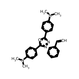 CN(C)c1ccc(-c2nnc(-c3ccc(N(C)C)cc3)o2)cc1.[CH]=Cc1ccccc1